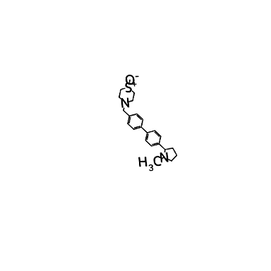 CN1CCCC1c1ccc(-c2ccc(CN3CC[S+]([O-])CC3)cc2)cc1